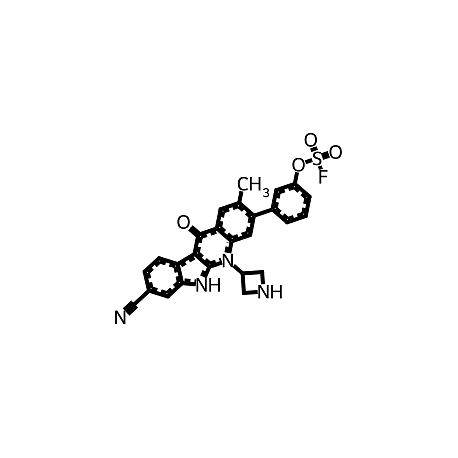 Cc1cc2c(=O)c3c4ccc(C#N)cc4[nH]c3n(C3CNC3)c2cc1-c1cccc(OS(=O)(=O)F)c1